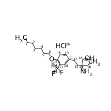 CCCCCCCOc1ccc(CCC(N)(CC)CO)cc1C(F)(F)F.Cl